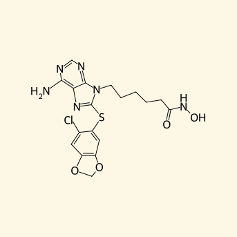 Nc1ncnc2c1nc(Sc1cc3c(cc1Cl)OCO3)n2CCCCCC(=O)NO